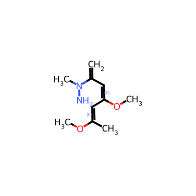 C=C(/C=C(\C=C(/C)OC)OC)N(C)N